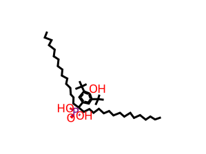 CCCCCCCCCCCCCCCCC(CCCCCCCCCCCCCCCC)(c1cc(C(C)(C)C)c(O)c(C(C)(C)C)c1)P(=O)(O)O